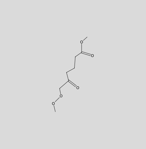 COOCC(=O)CCCC(=O)OC